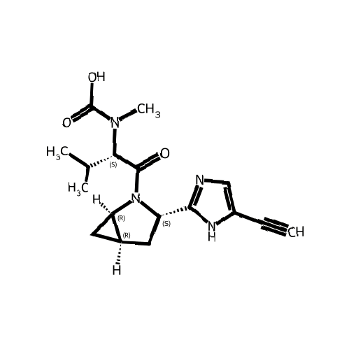 C#Cc1cnc([C@@H]2C[C@H]3C[C@H]3N2C(=O)[C@H](C(C)C)N(C)C(=O)O)[nH]1